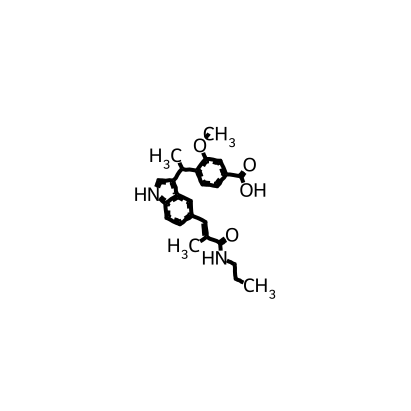 CCCNC(=O)/C(C)=C/c1ccc2[nH]cc(C(C)c3ccc(C(=O)O)cc3OC)c2c1